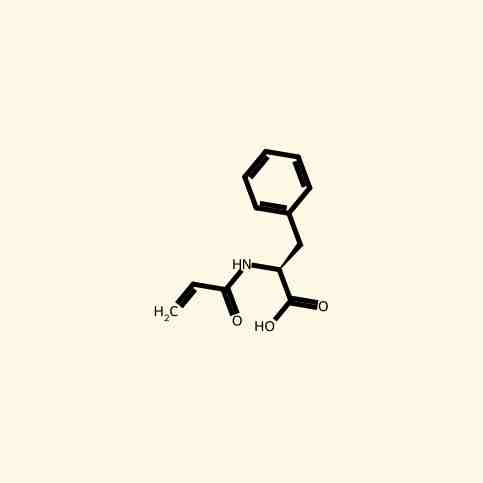 C=CC(=O)N[C@@H](Cc1ccccc1)C(=O)O